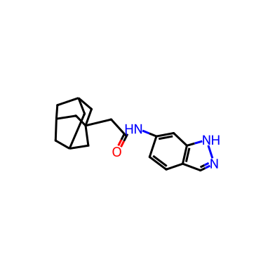 O=C(CC12CC3CC(CC(C3)C1)C2)Nc1ccc2cn[nH]c2c1